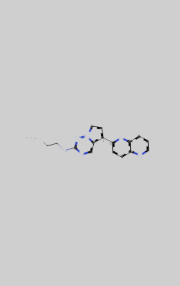 COCCNc1ncc2c(-c3ccc4ncccc4n3)ccn2n1